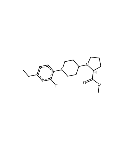 CCc1ccc(N2CCC(N3CCC[C@H]3C(=O)OC)CC2)c(F)c1